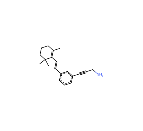 CC1=C(C=Cc2cccc(C#CCN)c2)C(C)(C)CCC1